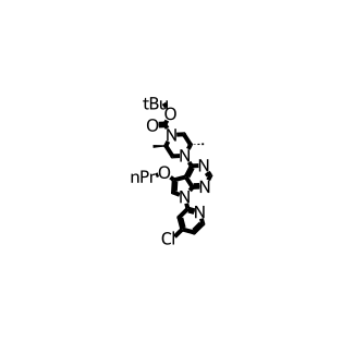 CCCOc1cn(-c2cc(Cl)ccn2)c2ncnc(N3C[C@@H](C)N(C(=O)OC(C)(C)C)C[C@@H]3C)c12